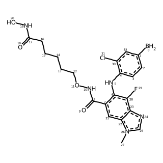 Bc1ccc(Nc2c(C(=O)NOCCCCCC(=O)NO)cc3c(ncn3C)c2F)c(Cl)c1